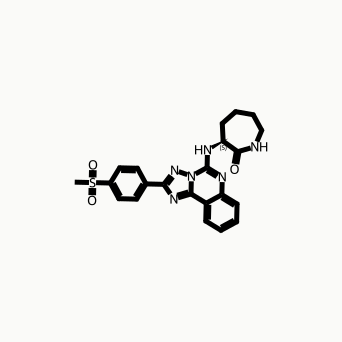 CS(=O)(=O)c1ccc(-c2nc3c4ccccc4nc(N[C@H]4CCCCNC4=O)n3n2)cc1